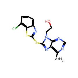 OCCn1c(Sc2nc3cccc(Cl)c3s2)nc2c([AsH2])ncnc21